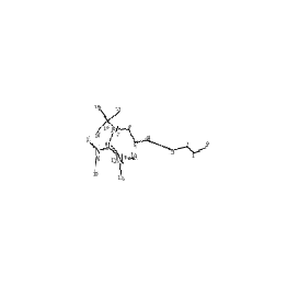 CCCCCCCN(C(N(C)C)=[N+](C)C)C(C)(C)C